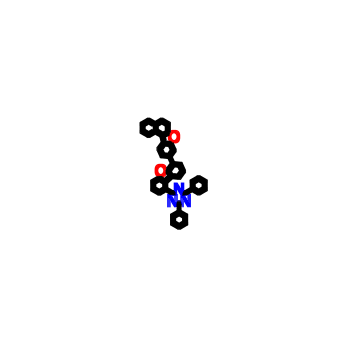 c1ccc(-c2nc(-c3ccccc3)nc(-c3cccc4oc5c(-c6ccc7c(c6)oc6ccc8ccccc8c67)cccc5c34)n2)cc1